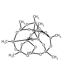 C[Si]12O[SiH]3O[Si](C)(O1)O[Si]1(C)O[Si]4(C)O[Si](C)(O3)O[Si]3(C)O[Si](C)(O2)O[Si](C)(O1)O[Si](C)(O3)O4